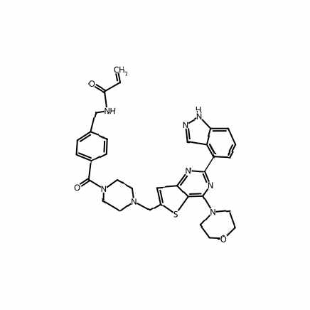 C=CC(=O)NCc1ccc(C(=O)N2CCN(Cc3cc4nc(-c5cccc6[nH]ncc56)nc(N5CCOCC5)c4s3)CC2)cc1